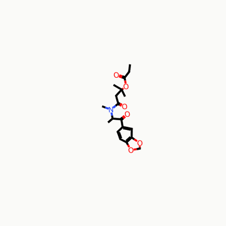 CCC(=O)OC(C)(C)CC(=O)N(C)C(C)C(=O)c1ccc2c(c1)OCO2